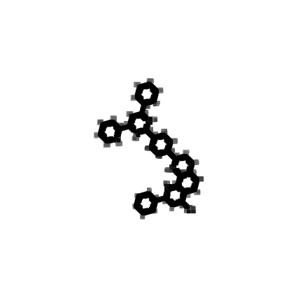 CCc1cc(-c2ccccc2)nc2c1ccc1ccc(-c3ccc(-c4nc(-c5ccccc5)cc(-c5ccccn5)n4)cc3)nc12